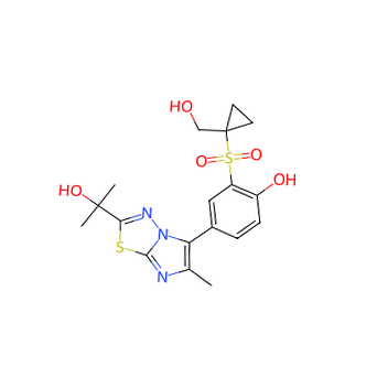 Cc1nc2sc(C(C)(C)O)nn2c1-c1ccc(O)c(S(=O)(=O)C2(CO)CC2)c1